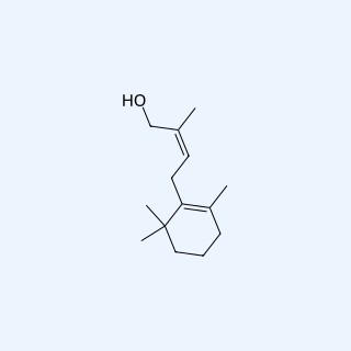 CC(=CCC1=C(C)CCCC1(C)C)CO